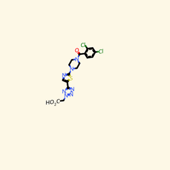 O=C(O)Cn1nnc(-c2cnc(N3CCN(C(=O)c4ccc(Cl)cc4Cl)CC3)s2)n1